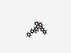 c1ccc(-c2ccc3c(c2)sc2nc(-n4c5ccccc5c5cc6ccccc6cc54)c(-c4ccccc4)nc23)cc1